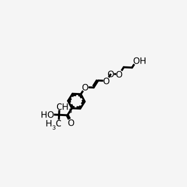 CC(C)(O)C(=O)c1ccc(O/C=C/OOOCCO)cc1